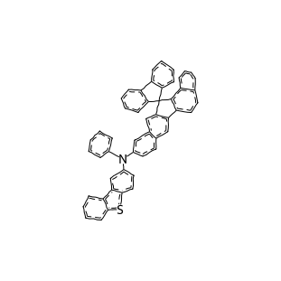 c1ccc(N(c2ccc3cc4c(cc3c2)C2(c3ccccc3-c3ccccc32)c2c-4ccc3ccccc23)c2ccc3sc4ccccc4c3c2)cc1